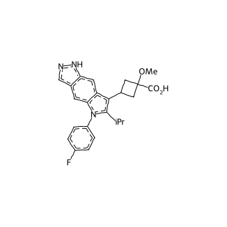 COC1(C(=O)O)CC(c2c(C(C)C)n(-c3ccc(F)cc3)c3cc4cn[nH]c4cc23)C1